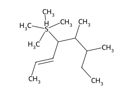 CC=CC(C(C)C(C)CC)[SH](C)(C)(C)C